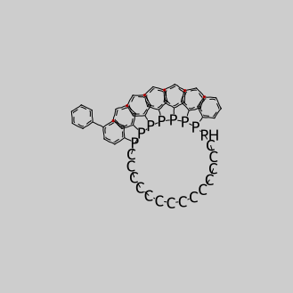 c1ccc(-c2ccc(P3CCCCCCCCCCCCCCPP(c4ccccc4)P(c4ccccc4)P(c4ccccc4)P(c4ccccc4)P(c4ccccc4)P3c3ccccc3)cc2)cc1